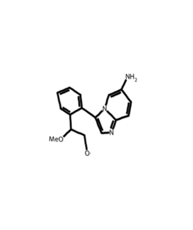 COC(C[O])c1ccccc1-c1cnc2ccc(N)cn12